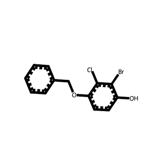 Oc1ccc(OCc2ccccc2)c(Cl)c1Br